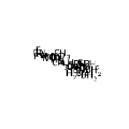 Bc1c(B)c(B)c(C(B)(B)N2CCC(CCOC(=O)N3[C@H](C)CN(c4cnc(C(F)(F)F)cn4)C[C@H]3C)CC2)c(B)c1B